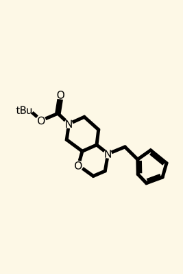 CC(C)(C)OC(=O)N1CCC2C(C1)OCCN2Cc1ccccc1